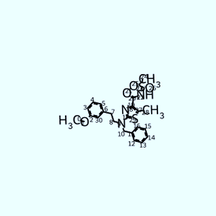 COc1cccc(CCN(Cc2ccccc2)c2nc(C(=O)NS(C)(=O)=O)c(C)s2)c1